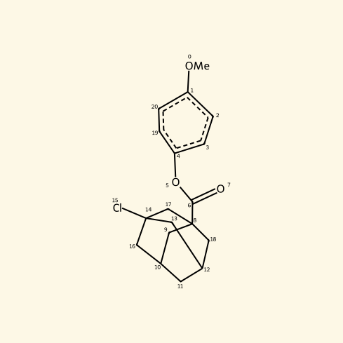 COc1ccc(OC(=O)C23CC4CC(CC(Cl)(C4)C2)C3)cc1